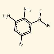 CC(C)N(F)c1cc(Br)cc(N)c1N